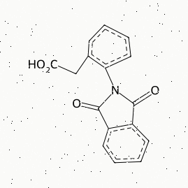 O=C(O)Cc1ccccc1N1C(=O)c2ccccc2C1=O